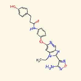 CCn1c(-c2nonc2N)nc2cnc(Oc3cccc(NC(=O)CCc4ccc(O)cc4)c3)cc21